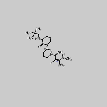 CN/C(N)=C(/F)C(=N)N1CCC[C@@H](N2CCCC(NCC(C)(C)C)C2=O)C1